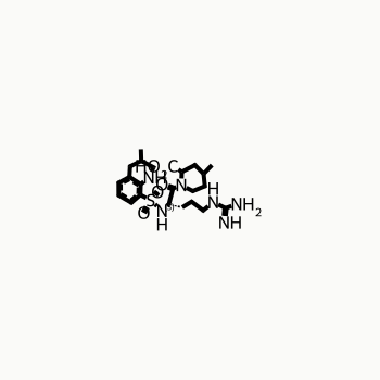 CC1CNc2c(cccc2S(=O)(=O)N[C@@H](CCCNC(=N)N)C(=O)N2CCC(C)CC2C(=O)O)C1